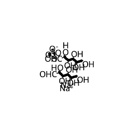 O=C[C@H](O)[C@@H](O)[C@H](O)[C@H](O)CO.O=C[C@H](O)[C@@H](O)[C@H](O)[C@H](O)CO.O=S(=O)([O-])[O-].[Na+].[Na+]